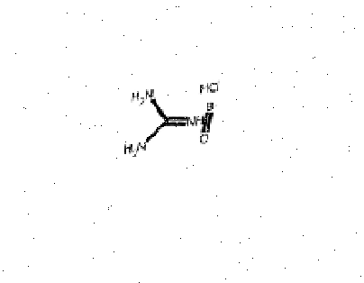 Cl.N=C(N)N.[B]=O